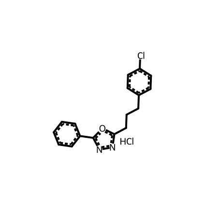 Cl.Clc1ccc(CCCc2nnc(-c3ccccc3)o2)cc1